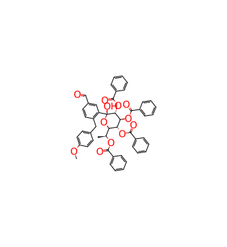 COc1ccc(Cc2ccc(C=O)cc2[C@@]2(O)O[C@H]([C@H](C)OC(=O)c3ccccc3)[C@@H](OC(=O)c3ccccc3)[C@H](OC(=O)c3ccccc3)[C@H]2OC(=O)c2ccccc2)cc1